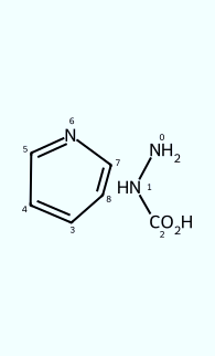 NNC(=O)O.c1ccncc1